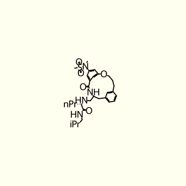 CCC[C@H](NCC1Cc2cccc(c2)CCCOc2cc(cc(N(C)S(C)(=O)=O)c2)C(=O)N1)C(=O)NCC(C)C